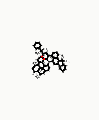 CC1C=CC2(C)C3=C1C(C)C=C1C=CC(N(c4ccc5c(c4)-c4ccccc4C5(C)C)c4ccc(C(C)(C)c5ccccc5)cc4-c4ccccc4)=C(c4ccccc42)C13C